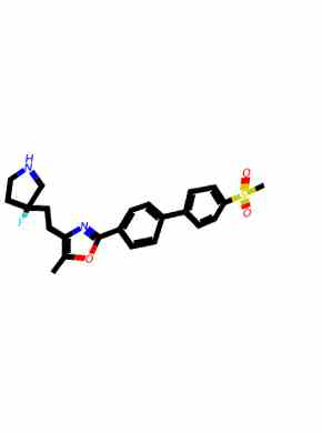 Cc1oc(-c2ccc(-c3ccc(S(C)(=O)=O)cc3)cc2)nc1CCC1(F)CCNC1